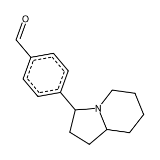 O=Cc1ccc(C2CCC3CCCCN32)cc1